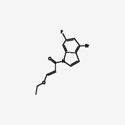 CCOC=CC(=O)n1ccc2c(Br)cc(F)cc21